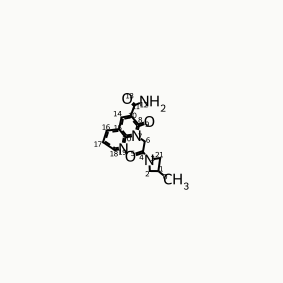 CC1CN(C(=O)Cn2c(=O)c(C(N)=O)cc3cccnc32)C1